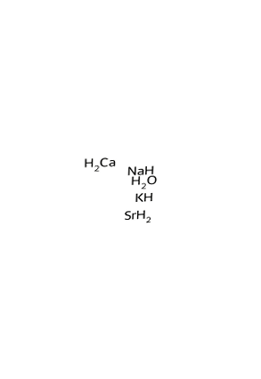 O.[CaH2].[KH].[NaH].[SrH2]